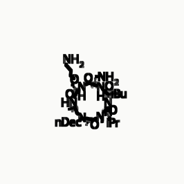 CCCCCCCCCCN1C[C@@H](C)NC(=O)[C@H](COCCCN)NC(=O)[C@H](CN)NC(=O)[C@H]([C@H](C)CC)NC(=O)[C@H](CC(C)C)N(C)C(=O)[C@@H]1C